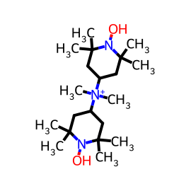 CC1(C)CC([N+](C)(C)C2CC(C)(C)N(O)C(C)(C)C2)CC(C)(C)N1O